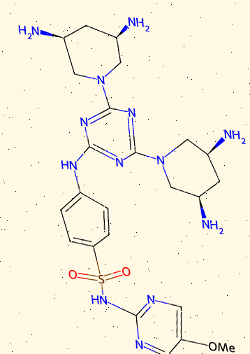 COc1cnc(NS(=O)(=O)c2ccc(Nc3nc(N4C[C@H](N)C[C@H](N)C4)nc(N4C[C@H](N)C[C@H](N)C4)n3)cc2)nc1